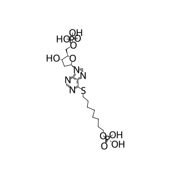 O=P(O)(O)OCCCCCCCCSc1ncnc2c1ncn2[C@H]1C[C@H](O)[C@@H](COP(=O)(O)O)O1